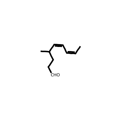 C/C=C\C=C/C(C)CCC=O